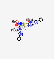 CCCCC1c2cc(-c3ccccc3)nn2CCN1C(=O)[C@H](CSSC[C@H](NC(=O)OC(C)(C)C)C(=O)N1CCn2nc(-c3ccccc3)cc2C1CCCC)NC(=O)O